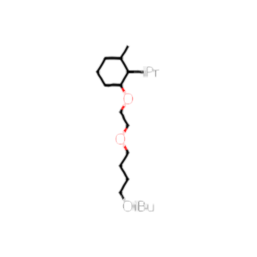 CC(C)COCCCCOCCOC1CCCC(C)C1C(C)C